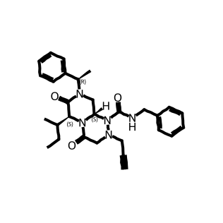 C#CCN1CC(=O)N2[C@@H](C(C)CC)C(=O)N([C@H](C)c3ccccc3)C[C@@H]2N1C(=O)NCc1ccccc1